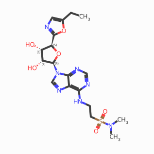 CCc1cnc([C@H]2O[C@@H](n3cnc4c(NCCS(=O)(=O)N(C)C)ncnc43)[C@H](O)[C@@H]2O)o1